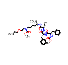 COCCOCCN(CCCC[C@@H](NC(=O)[C@@H](CC(C)C)NC(=O)[C@@H](Cc1ccccc1)NC(=O)[C@@H](Cc1ccccc1)NC(=O)OC(C)(C)C)C(=O)O)C(=O)OC(C)(C)C